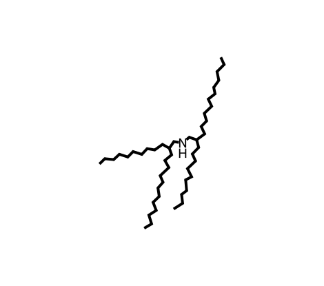 CCCCCCCCCCCCC(CCCCCCCCCC)CNCC(CCCCCCCCCC)CCCCCCCCCCCC